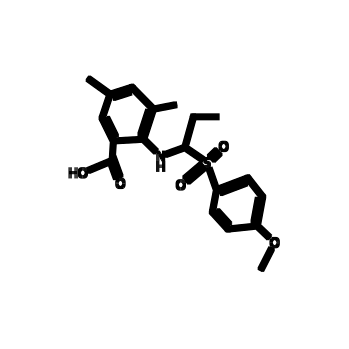 CCC(Nc1c(C)cc(C)cc1C(=O)O)S(=O)(=O)c1ccc(OC)cc1